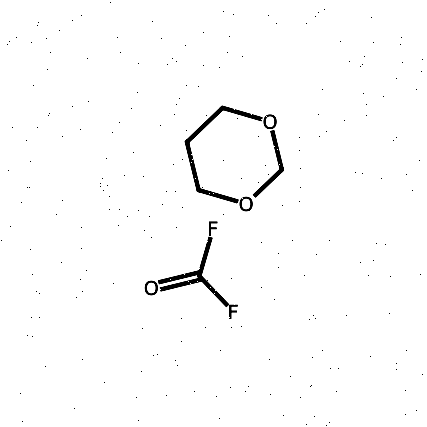 C1COCOC1.O=C(F)F